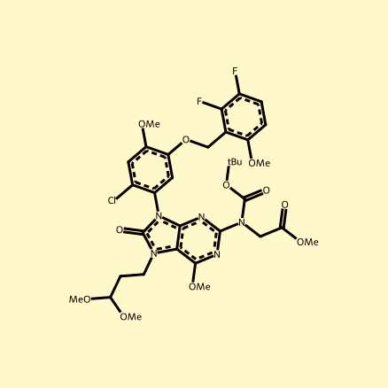 COC(=O)CN(C(=O)OC(C)(C)C)c1nc(OC)c2c(n1)n(-c1cc(OCc3c(OC)ccc(F)c3F)c(OC)cc1Cl)c(=O)n2CCC(OC)OC